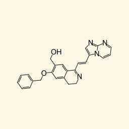 OCc1cc2c(cc1OCc1ccccc1)CCN=C2/C=C/c1cnc2ncccn12